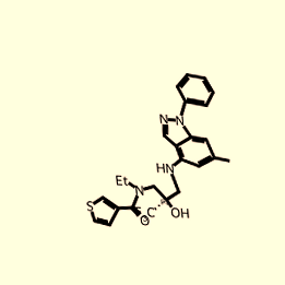 CCN(C[C@](O)(CNc1cc(C)cc2c1cnn2-c1ccccc1)C(F)(F)F)C(=O)c1ccsc1